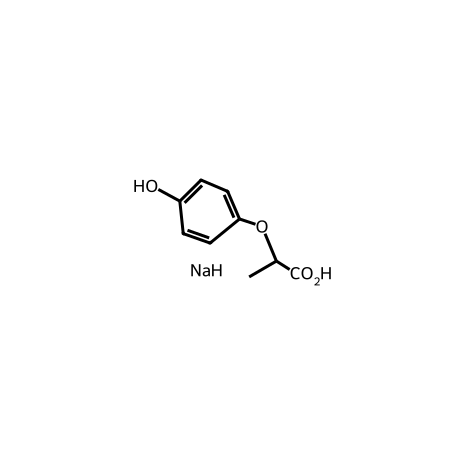 CC(Oc1ccc(O)cc1)C(=O)O.[NaH]